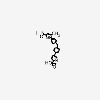 Cc1cc(C(N)=O)nn1-c1ccc(Cc2ccc(-c3ccc(C4(O)COC4)nc3)cc2)cc1